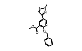 COC(=O)c1cc(-c2cnn(C)n2)cnc1OCc1ccccc1